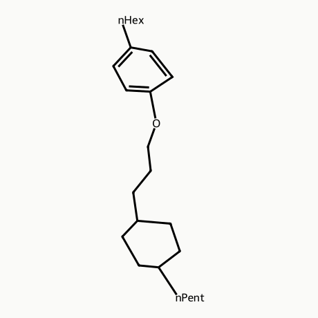 CCCCCCc1ccc(OCCCC2CCC(CCCCC)CC2)cc1